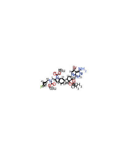 CC(C)(C)OC(=O)N(Cc1cc2ccc([C@H]3C[C@@H](n4cc(Br)c5c(N)ncnc54)[C@@H]4OC(C)(C)O[C@@H]43)cc2n1C(=O)OC(C)(C)C)CC12CC(F)(C1)C2